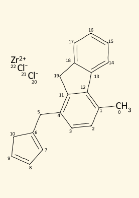 Cc1ccc(CC2=CC=CC2)c2c1-c1ccccc1C2.[Cl-].[Cl-].[Zr+2]